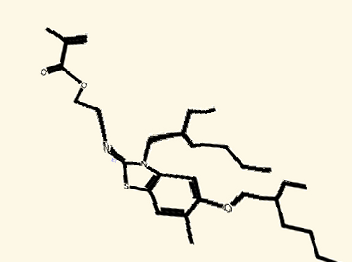 C=C(C)C(=O)OCC/N=c1/sc2cc(C)c(OCC(CC)CCCC)cc2n1CC(CC)CCCC